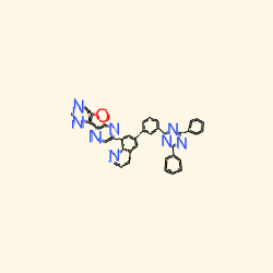 c1ccc(-c2nc(-c3ccccc3)nc(-c3cccc(-c4cc(-c5cnc6c(n5)oc5cncnc56)c5ncccc5c4)c3)n2)cc1